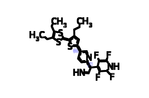 CCCc1c/c(=c2/cc/c(=C(\C=N)C3=C(F)C(F)NC(F)=C3F)nc2)sc1=C1SC(CC)=C(CC)S1